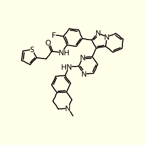 CN1CCc2ccc(Nc3nccc(-c4c(-c5ccc(F)c(NC(=O)Cc6cccs6)c5)nn5ccccc45)n3)cc2C1